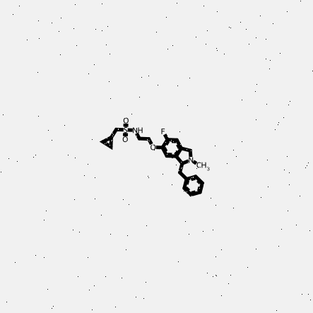 CN1Cc2cc(F)c(OCCNS(=O)(=O)CC3CC3)cc2C1Cc1ccccc1